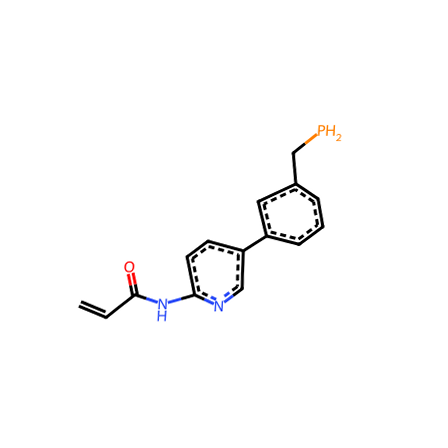 C=CC(=O)Nc1ccc(-c2cccc(CP)c2)cn1